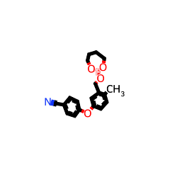 Cc1ccc(Oc2ccc(C#N)cc2)cc1COB1OCCCCO1